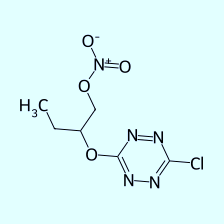 CCC(CO[N+](=O)[O-])Oc1nnc(Cl)nn1